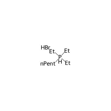 Br.CCCCC[PH](CC)(CC)CC